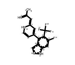 CC(=N)/C=C1/C=C(c2c(C(F)(F)F)c(F)cc3[nH]ncc23)C=CN1